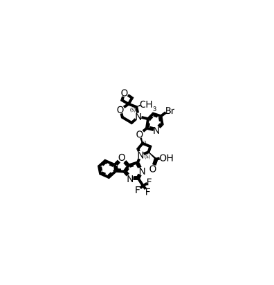 C[C@@H]1N(c2cc(Br)cnc2O[C@H]2C[C@@H](C(=O)O)N(c3nc(C(F)(F)F)nc4c3oc3ccccc34)C2)CCOC12COC2